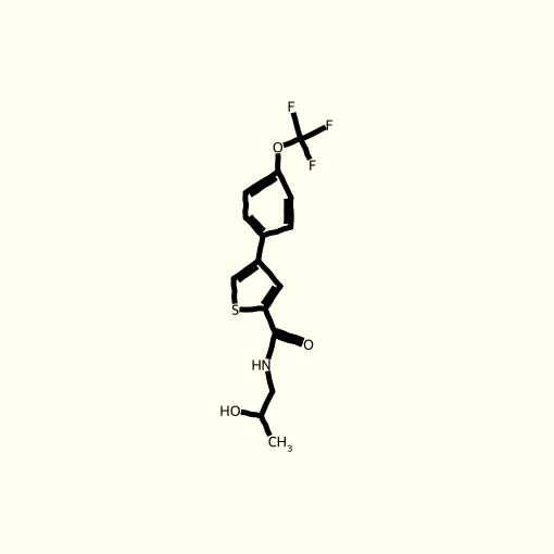 CC(O)CNC(=O)c1cc(-c2ccc(OC(F)(F)F)cc2)cs1